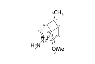 COC1=CC2C(C)C(C=C1N)C2P